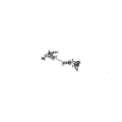 Cc1ncsc1-c1ccc(CNC(=O)[C@@H]2C[C@@H](O)CN2C(=O)C(NC(=O)CCCCCCCCCC(=O)N2CCN(c3ncc(-c4cc(NC(=O)c5ccc(F)cc5C(F)(F)F)c(N5C[C@@H](C)N(C)[C@@H](C)C5)cc4F)cn3)CC2)C(C)(C)C)cc1